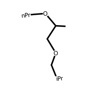 CCCOC(C)COCC(C)C